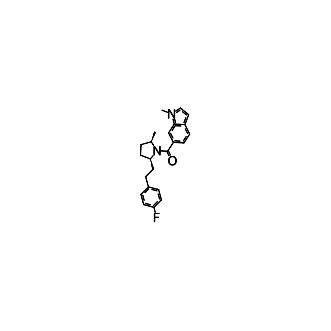 C[C@@H]1CC[C@H](CCc2ccc(F)cc2)N1C(=O)c1ccc2ccn(C)c2c1